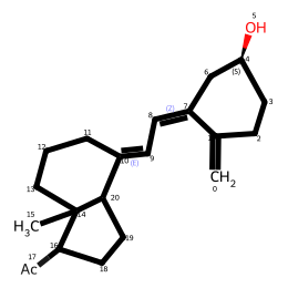 C=C1CC[C@H](O)C/C1=C/C=C1\CCCC2(C)C(C(C)=O)CCC12